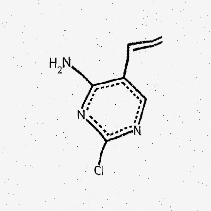 C=Cc1cnc(Cl)nc1N